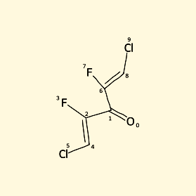 O=C(C(F)=CCl)C(F)=CCl